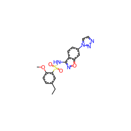 CCc1ccc(OC)c(S(=O)(=O)Nc2noc3cc(-n4ccnn4)ccc23)c1